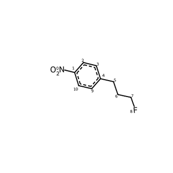 O=[N+]([O-])c1ccc(CCCF)cc1